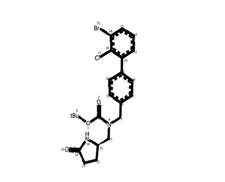 CC(C)(C)OC(=O)N(Cc1ccc(-c2cccc(Br)c2Cl)cc1)C[C@H]1CCC(=O)N1